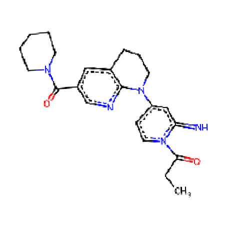 CCC(=O)n1ccc(N2CCCc3cc(C(=O)N4CCCCC4)cnc32)cc1=N